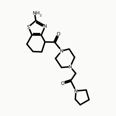 Nc1nc2c(s1)CCCC2C(=O)N1CCN(CC(=O)N2CCCC2)CC1